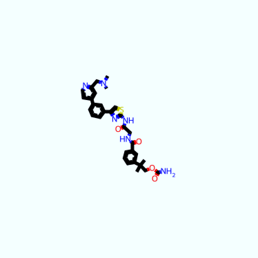 CN(C)Cc1cc(-c2cccc(-c3csc(NC(=O)CNC(=O)c4cccc(C(C)(C)COC(N)=O)c4)n3)c2)ccn1